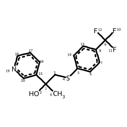 CC(O)(CSc1ccc(C(F)(F)F)cc1)c1cccnc1